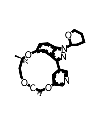 C[C@@H]1CCOC[C@@H](C)Oc2cncc(c2)-c2nn(C3CCCCO3)c3ccc(cc23)O1